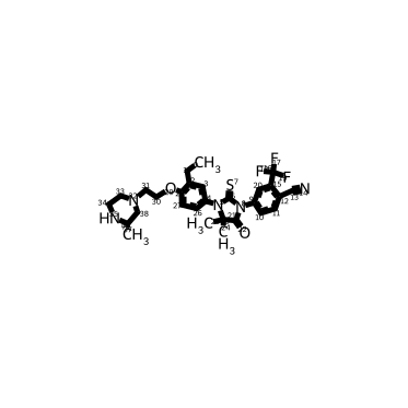 CCc1cc(N2C(=S)N(c3ccc(C#N)c(C(F)(F)F)c3)C(=O)C2(C)C)ccc1OCCN1CCN[C@H](C)C1